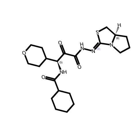 O=C(N/N=C1\SC[C@H]2CCCN12)C(=O)[C@@H](NC(=O)C1CCCCC1)C1CCOCC1